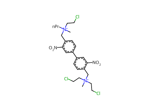 CCC[N+](C)(CCCl)Cc1ccc(-c2ccc(C[N+](C)(CCCl)CCCl)c([N+](=O)[O-])c2)cc1[N+](=O)[O-]